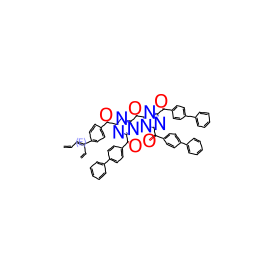 C=C/C=C(\C=C)c1ccc(C(=O)c2nc(C(=O)c3ccc(-c4ccccc4)cc3)nc(C(=O)c3nc(C(=O)c4ccc(-c5ccccc5)cc4)nc(C(=O)c4ccc(-c5ccccc5)cc4)n3)n2)cc1